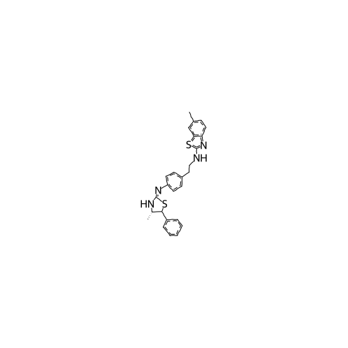 Cc1ccc2nc(NCCc3ccc(/N=C4/N[C@@H](C)C(c5ccccc5)S4)cc3)sc2c1